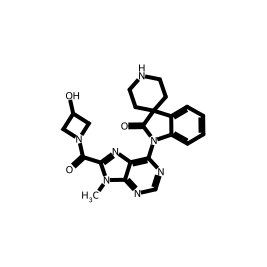 Cn1c(C(=O)N2CC(O)C2)nc2c(N3C(=O)C4(CCNCC4)c4ccccc43)ncnc21